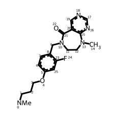 CNCCCOc1ccc(CN2CCN(C)c3ncncc3C2=O)c(F)c1